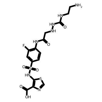 NCCNC(=O)NNCC(=O)Nc1ccc(S(=O)(=O)Nc2scnc2C(=O)O)cc1F